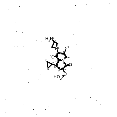 Cc1c(N2CC(N)C2)c(F)cn2c(=O)c(OC(=O)O)cc(C3CC3)c12